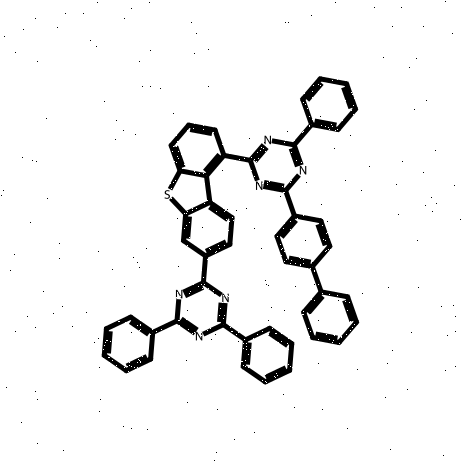 c1ccc(-c2ccc(-c3nc(-c4ccccc4)nc(-c4cccc5sc6cc(-c7nc(-c8ccccc8)nc(-c8ccccc8)n7)ccc6c45)n3)cc2)cc1